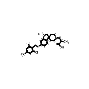 Cc1cc(Cl)c(CSc2ccc3c(c2)OCC32CCN(CC(C)C(=O)O)CC2)c(Cl)c1.Cl